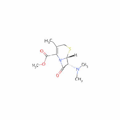 COC(=O)C1=C(C)CS[C@@H]2[C@H](N(C)C)C(=O)N12